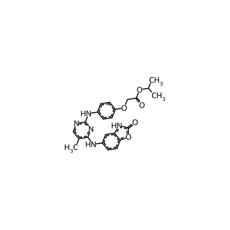 Cc1cnc(Nc2ccc(OCC(=O)OC(C)C)cc2)nc1Nc1ccc2oc(=O)[nH]c2c1